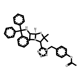 CC(=O)Oc1ccc(Cn2nnnc2C2N3C(=O)C(NC(c4ccccc4)(c4ccccc4)c4ccccc4)[C@H]3SC2(C)C)cc1